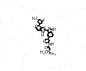 Cc1cc(F)cc(-c2nccc3[nH]c(-c4n[nH]c5ccc(-c6cncc(NC(=O)CN(C)C)c6)cc45)nc23)c1